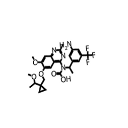 COc1cc2nc(C)nc(N(C(=O)O)C(C)c3cc(N)cc(C(F)(F)F)c3)c2cc1OCC1(C(C)OC)CC1